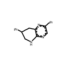 CC(C)c1cnc2c(n1)CC(C(C)C)CN2